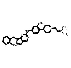 CNc1ncccc1Cn1ccc2cnc(Nc3ccc(C4CCN(CCN(C)C)CC4)c(C)c3)nc21